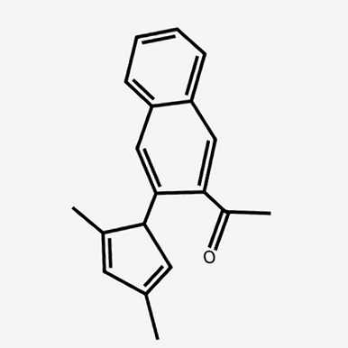 CC(=O)c1cc2ccccc2cc1C1C=C(C)C=C1C